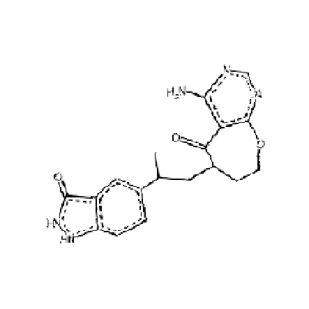 CC(CC1CCOc2ncnc(N)c2C1=O)c1ccc2[nH][nH]c(=O)c2c1